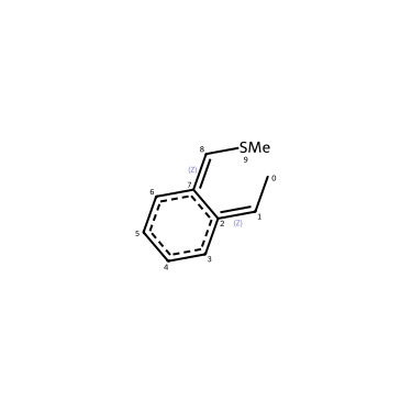 C/C=c1/cccc/c1=C/SC